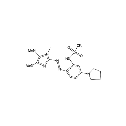 [CH2-][NH2+]c1nc(N=Nc2ccc(N3CCCC3)cc2NS(=O)(=O)C(F)(F)F)n(C)c1[NH2+][CH2-]